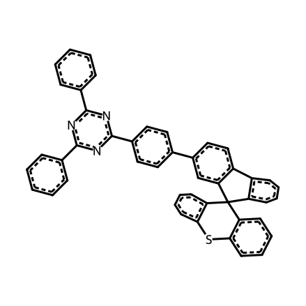 c1ccc(-c2nc(-c3ccccc3)nc(-c3ccc(-c4ccc5c(c4)C4(c6ccccc6Sc6ccccc64)c4ccccc4-5)cc3)n2)cc1